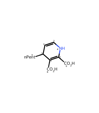 CCCCCC1C=CNC(C(=O)O)=C1C(=O)O